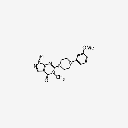 COc1cccc(N2CCN(c3nc4c(cnn4C(C)C)c(=O)n3C)CC2)c1